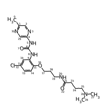 Cc1cnc(NC(=O)Nc2cc(Cl)ccc2OCCCNC(=O)CCCN(C)C)cn1